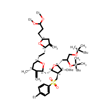 C=C1C[C@H](CCC(OCC)OCC)O[C@H]1CC[C@H]1C[C@@H](C)C(=C)[C@@H](C[C@@H]2O[C@H](CC(CO[Si](C)(C)C(C)(C)C)O[Si](C)(C)C(C)(C)C)[C@H](OC)[C@H]2CS(=O)(=O)c2ccc(CC)cc2)O1